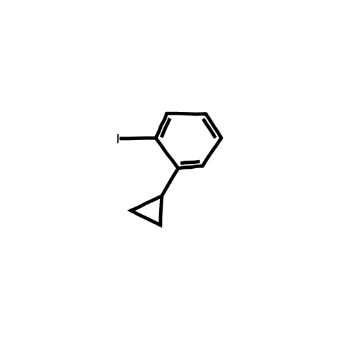 Ic1ccccc1C1CC1